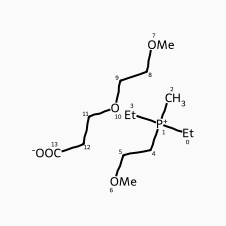 CC[P+](C)(CC)CCOC.COCCOCCC(=O)[O-]